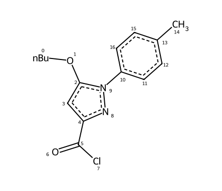 CCCCOc1cc(C(=O)Cl)nn1-c1ccc(C)cc1